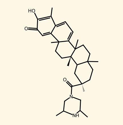 CC1=C(O)C(=O)C=C2C1=CC=C1C2(C)CC[C@@]2(C)C3C[C@](C)(C(=O)N4CC(C)NC(C)C4)CCC3(C)CCC12C